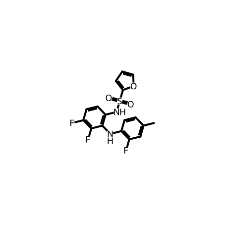 Cc1ccc(Nc2c(NS(=O)(=O)c3ccco3)ccc(F)c2F)c(F)c1